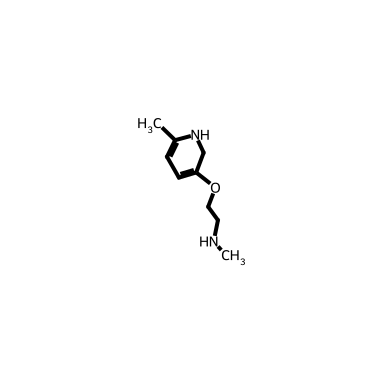 CNCCOC1=CC=C(C)NC1